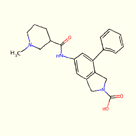 CN1CCCC(C(=O)Nc2cc3c(c(-c4ccccc4)c2)CN(C(=O)O)C3)C1